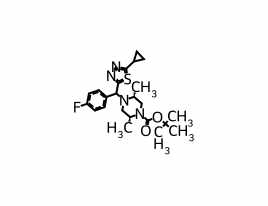 C[C@H]1CN(C(c2ccc(F)cc2)c2nnc(C3CC3)s2)[C@@H](C)CN1C(=O)OC(C)(C)C